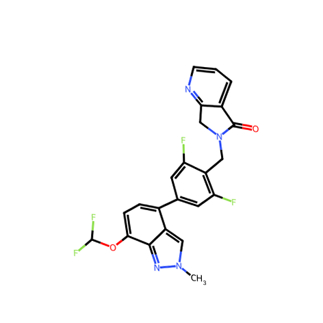 Cn1cc2c(-c3cc(F)c(CN4Cc5ncccc5C4=O)c(F)c3)ccc(OC(F)F)c2n1